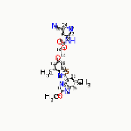 COc1cnc2c(-c3nc4c(C)cc(OCCOC(=O)Nc5cncc(C#N)c5)cc4s3)cc(C)cc2n1